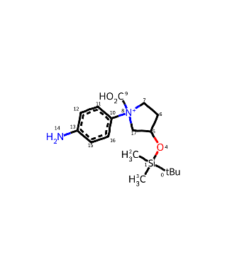 CC(C)(C)[Si](C)(C)OC1CC[N+](C(=O)O)(c2ccc(N)cc2)C1